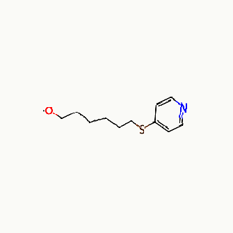 [O]CCCCCCSc1ccncc1